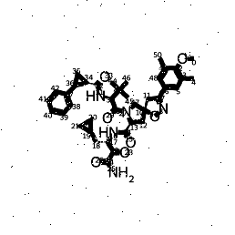 COc1c(C)cc(C2=NO[C@]3(C2)C[C@@H](C(=O)N[C@@H](CC2CC2)C(=O)C(N)=O)N(C(=O)[C@@H](NC(=O)[C@H]2CC2c2ccccc2)C(C)(C)C)C3)cc1C